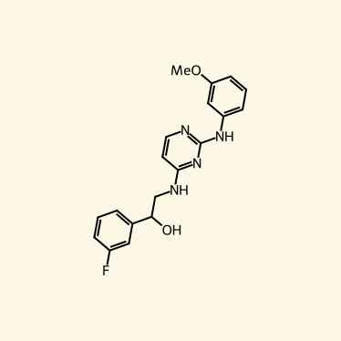 COc1cccc(Nc2nccc(NCC(O)c3cccc(F)c3)n2)c1